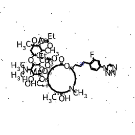 CCC(=O)O[C@@H]1CC(=O)O[C@@H](C/C=C/c2ccc(-n3cnnn3)cc2F)CCCN(C)C[C@H](O)[C@H](C)C[C@H](CC=O)[C@H](O[C@@H]2OC(C)[C@@H](O[C@H]3CC(C)(OC(C)=O)[C@@H](OC(=O)CC)C(C)O3)C(N(C)C)C2O)[C@H]1OC